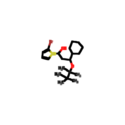 CC(C)(C)[Si](C)(C)OC(CC(O)[SH]1C=CC=C1Br)C1CCCCC1